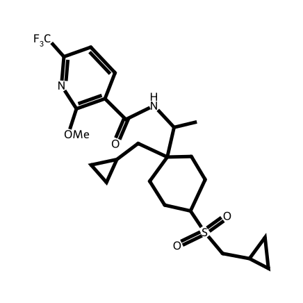 COc1nc(C(F)(F)F)ccc1C(=O)NC(C)C1(CC2CC2)CCC(S(=O)(=O)CC2CC2)CC1